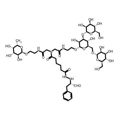 C[C@@H]1O[C@@H](OCCNC(=O)CN(CC(=O)NCCO[C@H]2O[C@H](CO[C@H]3O[C@H](CO)[C@@H](O)[C@H](O)[C@@H]3O)[C@@H](O)[C@H](O[C@H]3O[C@H](CO)[C@@H](O)[C@H](O)[C@@H]3O)[C@@H]2O)C(=O)CCCCC(=O)NN[C@H](C=O)Cc2ccccc2)[C@@H](O)[C@H](O)[C@@H]1O